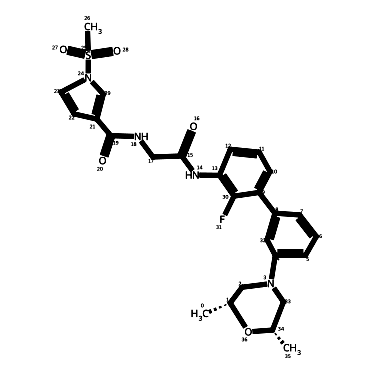 C[C@@H]1CN(c2cccc(-c3cccc(NC(=O)CNC(=O)c4ccn(S(C)(=O)=O)c4)c3F)c2)C[C@H](C)O1